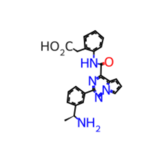 C[C@H](N)c1cccc(-c2nc(C(=O)Nc3ccccc3CC(=O)O)c3cccn3n2)c1